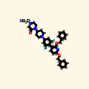 O=C(O)N1CCN(C2CCN(c3cc(F)c(-c4ccc(OCc5ccccc5)nc4OCc4ccccc4)c(F)c3)CC2)C(=O)C1